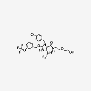 CNC1=C(C(=O)NCCOCCO)N(Cc2ccc(Cl)cc2)C(OCc2cccc(OC(F)(F)F)c2)N1